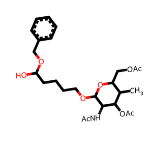 CC(=O)NC1C(OCCCCC(O)OCc2ccccc2)OC(COC(C)=O)C(C)C1OC(C)=O